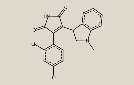 CN1CC(C2=C(c3ccc(Cl)cc3Cl)C(=O)NC2=O)c2ccccc21